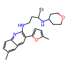 CCC(CCNc1nc2ccc(C)cc2cc1-c1ccc(C)o1)NC1CCOCC1